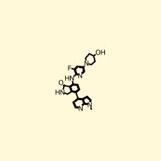 Cn1ccc2c(-c3ccc(Nc4ncc(N5CCC(O)CC5)cc4F)c4c3CNC4=O)ccnc21